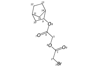 O=C(CBr)OCC(=O)OC1CC2CCC1C2